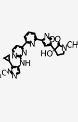 CN1CC[C@@](O)(c2cc(-c3cccc(-c4ccnc(Nc5cnn(C)c5C5CC5)n4)n3)no2)C1=O